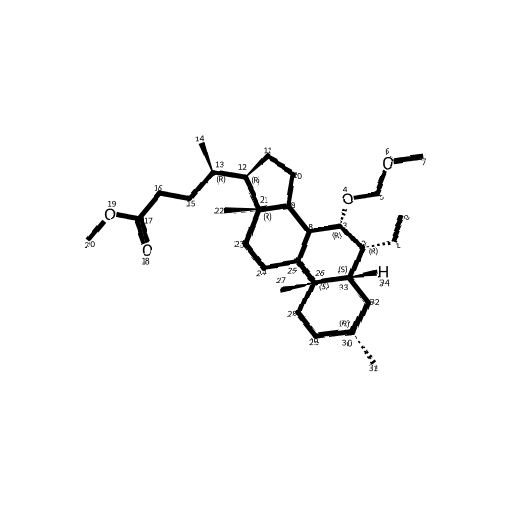 CC[C@H]1[C@@H](OCOC)C2C3CC[C@H]([C@H](C)CCC(=O)OC)[C@@]3(C)CCC2[C@@]2(C)CC[C@@H](C)C[C@@H]12